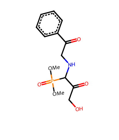 COP(=O)(OC)C(NCC(=O)c1ccccc1)C(=O)CO